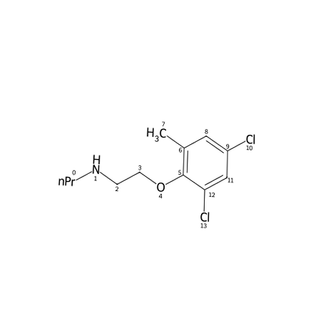 CCCNCCOc1c(C)cc(Cl)cc1Cl